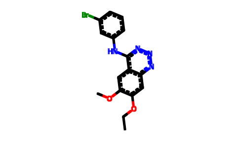 CCOc1cc2nnnc(Nc3cccc(Br)c3)c2cc1OC